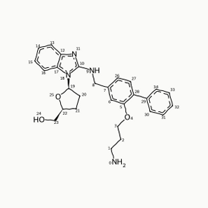 NCCCOc1cc(CNc2nc3ccccc3n2[C@H]2CC[C@@H](CO)O2)ccc1-c1ccccc1